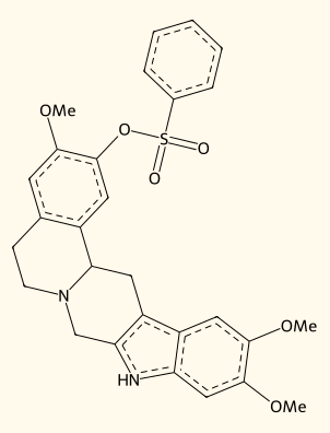 COc1cc2[nH]c3c(c2cc1OC)CC1c2cc(OS(=O)(=O)c4ccccc4)c(OC)cc2CCN1C3